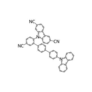 N#Cc1ccc(-n2c3ccc(C#N)cc3c3ccc(C#N)cc32)c(-c2ccc(-c3ccc(-n4c5ccccc5c5ccccc54)cc3)cc2)c1